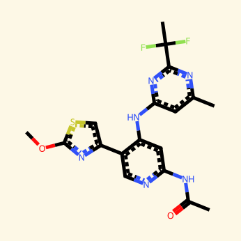 COc1nc(-c2cnc(NC(C)=O)cc2Nc2cc(C)nc(C(C)(F)F)n2)cs1